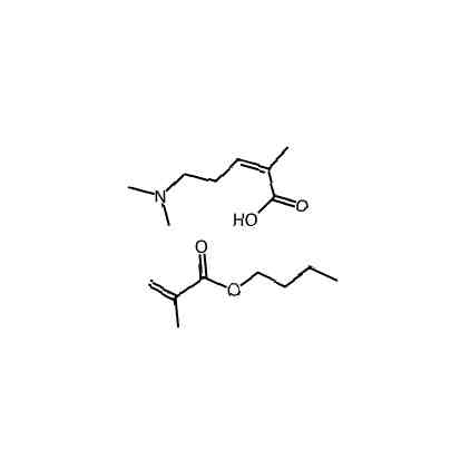 C=C(C)C(=O)OCCCC.CC(=CCCN(C)C)C(=O)O